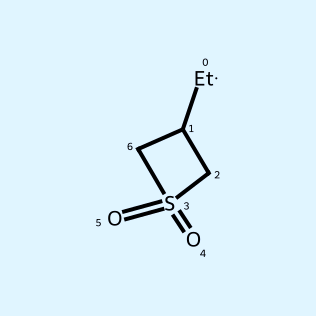 C[CH]C1CS(=O)(=O)C1